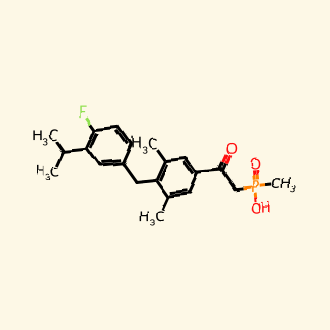 Cc1cc(C(=O)CP(C)(=O)O)cc(C)c1Cc1ccc(F)c(C(C)C)c1